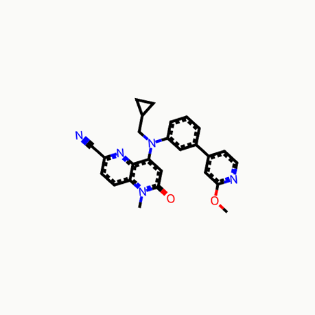 COc1cc(-c2cccc(N(CC3CC3)c3cc(=O)n(C)c4ccc(C#N)nc34)c2)ccn1